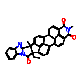 CCC12C(=O)n3c(nc4ccccc43)C1(C)c1ccc3c4ccc5c6c(ccc(c7ccc2c1c73)c64)C(=O)N(C)C5=O